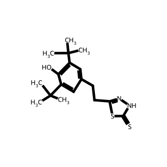 CC(C)(C)c1cc(CCc2n[nH]c(=S)s2)cc(C(C)(C)C)c1O